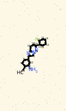 C#Cc1ccc(-c2cn3nc(-c4ccccc4F)ccc3n2)cc1N